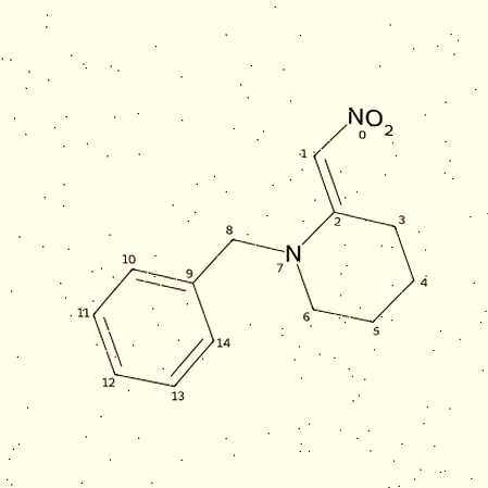 O=[N+]([O-])C=C1CCCCN1Cc1ccccc1